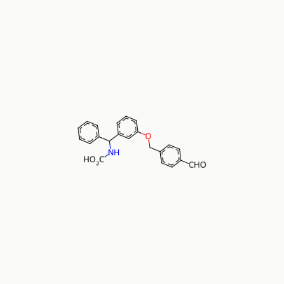 O=Cc1ccc(COc2cccc(C(NC(=O)O)c3ccccc3)c2)cc1